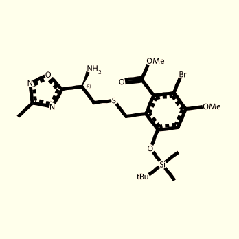 COC(=O)c1c(Br)c(OC)cc(O[Si](C)(C)C(C)(C)C)c1CSC[C@H](N)c1nc(C)no1